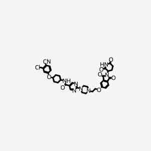 N#Cc1ccc(OC2CCC(NC(=O)c3cnc(N4CCN(CCOc5ccc6c(c5)C(=O)N(C5CCC(=O)NC5=O)C6=O)CC4)nc3)CC2)cc1Cl